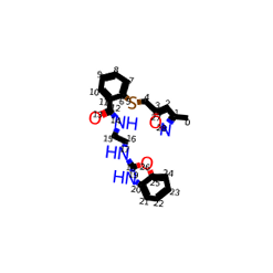 Cc1cc(CSc2ccccc2C(=O)NCCNC2Nc3ccccc3O2)on1